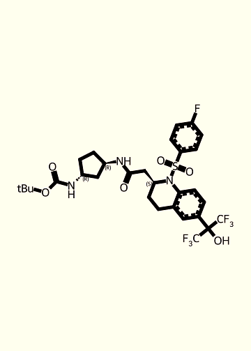 CC(C)(C)OC(=O)N[C@@H]1CC[C@@H](NC(=O)C[C@@H]2CCc3cc(C(O)(C(F)(F)F)C(F)(F)F)ccc3N2S(=O)(=O)c2ccc(F)cc2)C1